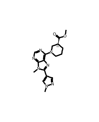 COC(=O)[C@H]1CCCN(c2ncnc3c2nc(-c2cnn(C)c2)n3C)C1